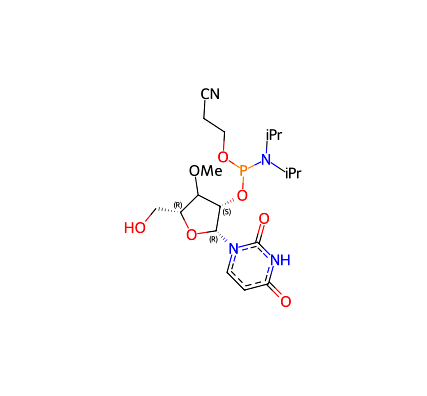 COC1[C@@H](CO)O[C@@H](n2ccc(=O)[nH]c2=O)[C@H]1OP(OCCC#N)N(C(C)C)C(C)C